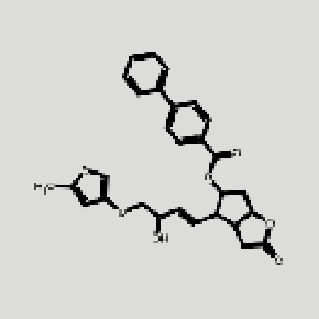 Cc1cc(OCC(O)C=CC2C(OC(=O)c3ccc(-c4ccccc4)cc3)CC3OC(=O)CC32)cs1